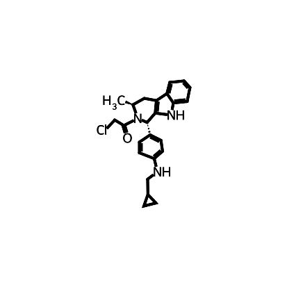 C[C@H]1Cc2c([nH]c3ccccc23)[C@H](c2ccc(NCC3CC3)cc2)N1C(=O)CCl